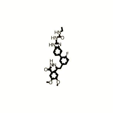 CCNC(=O)Nc1nc2cc(-c3cc(Cc4n[nH]c(=O)c5cc(OC)c(OC)cc45)ccc3F)ccc2[nH]1